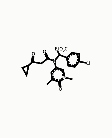 CCOC(=O)C(c1ccc(Cl)cc1)N(C(=O)CC(=O)C1CC1)c1cc(C)c(=O)n(C)c1